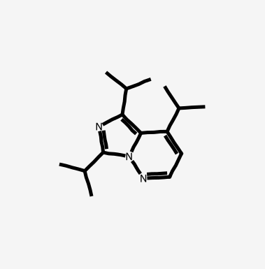 CC(C)c1ccnn2c(C(C)C)nc(C(C)C)c12